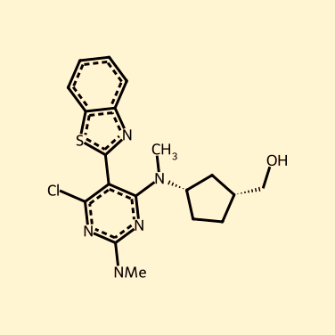 CNc1nc(Cl)c(-c2nc3ccccc3s2)c(N(C)[C@H]2CC[C@@H](CO)C2)n1